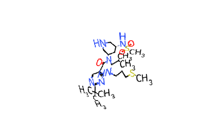 CSCCCNc1nc(C(C)(C)C)ncc1C(=O)N(CC(C)C)[C@@H]1CNC[C@H](NS(C)(=O)=O)C1